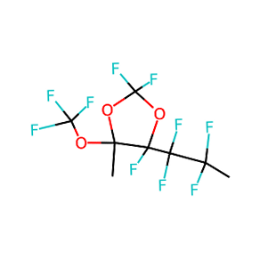 CC(F)(F)C(F)(F)C1(F)OC(F)(F)OC1(C)OC(F)(F)F